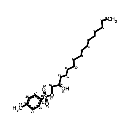 CCCCCCCCCCCCCCC(O)COS(=O)(=O)c1ccc(C)cc1